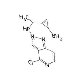 BC1C=C1C(C)Pn1cc2c(Cl)nccc2n1